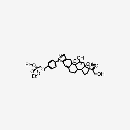 CCOP(=O)(COc1ccc(-n2ncc3c2C=C2CCC4C([C@@H](O)C[C@@]5(C)C4CC[C@]5(O)C(=O)CO)[C@@]2(C)C3)cc1)OCC